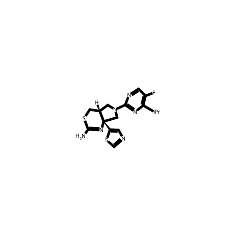 CC(C)c1nc(N2C[C@H]3CSC(N)=N[C@@]3(c3cncs3)C2)ncc1F